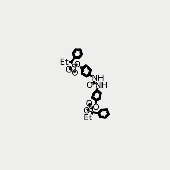 CCC(c1ccccc1)S(=O)(=O)Oc1ccc(NC(=O)Nc2ccc(OS(=O)(=O)C(CC)c3ccccc3)cc2)cc1